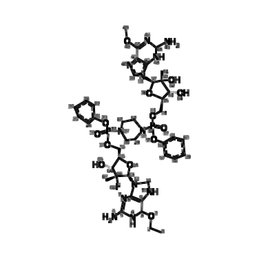 CCOC1NC(N)=NC2=C1NCN2[C@@H]1O[C@H](COP(=O)(Oc2ccccc2)N2CCN(P(=O)(OC[C@H]3O[C@@H](n4cnc5c4NC(N)N=C5OC)[C@](C)(O)[C@@H]3O)Oc3ccccc3)CC2)[C@@H](O)[C@@]1(C)F